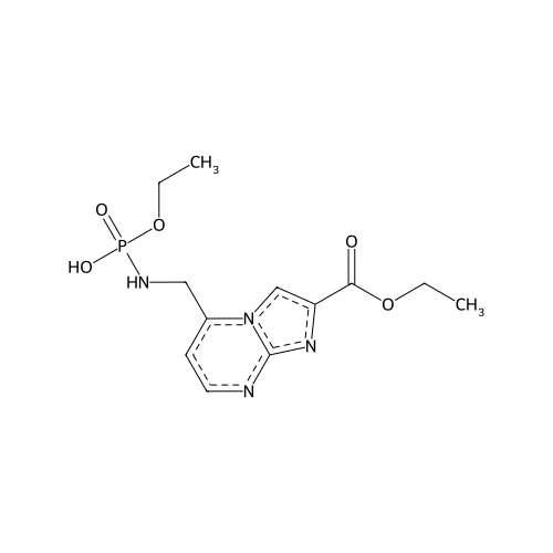 CCOC(=O)c1cn2c(CNP(=O)(O)OCC)ccnc2n1